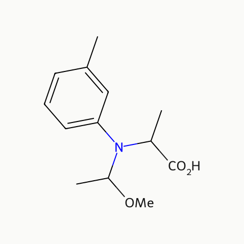 COC(C)N(c1cccc(C)c1)C(C)C(=O)O